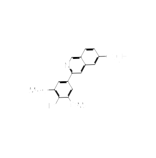 COc1cc(-c2cc3cc(C(=O)O)ccc3cn2)cc(OC)c1C(C)C